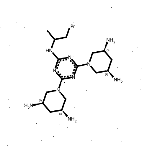 CC(C)CC(C)Nc1nc(N2C[C@H](N)C[C@H](N)C2)nc(N2C[C@H](N)C[C@H](N)C2)n1